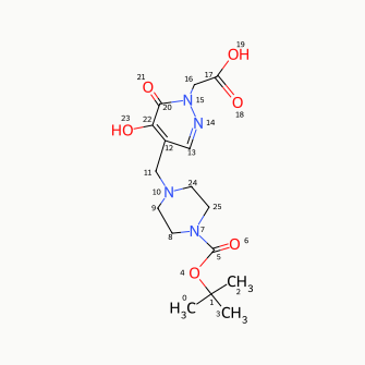 CC(C)(C)OC(=O)N1CCN(Cc2cnn(CC(=O)O)c(=O)c2O)CC1